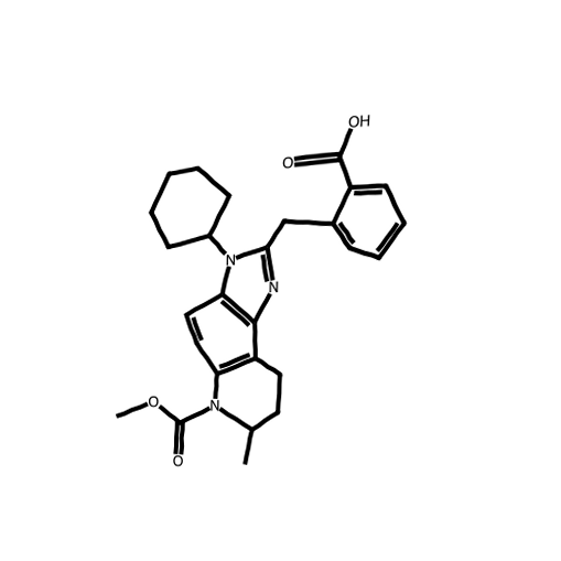 COC(=O)N1c2ccc3c(nc(Cc4ccccc4C(=O)O)n3C3CCCCC3)c2CCC1C